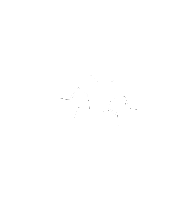 CC1=CC[C]([Hf][C]2=C(C)C(C)=CC2)=C1C.CCOCl